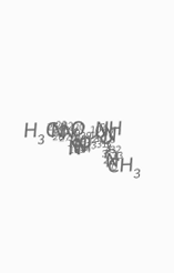 CN1CC=C(c2cnc3[nH]cc(-c4ccn5ncc(C(=O)N6CCN(C)CC6)c5c4)c3c2)CC1